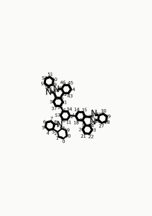 C1=CC2c3ccccc3N(c3cc(-c4ccc5c(c4)c4ccccc4n4c6ccccc6nc54)cc(-c4ccc5c(c4)c4ccccc4n4c6ccccc6nc54)c3)C2C=C1